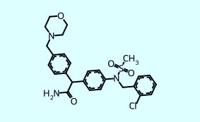 CS(=O)(=O)N(Cc1ccccc1Cl)c1ccc(C(C(N)=O)c2ccc(CN3CCOCC3)cc2)cc1